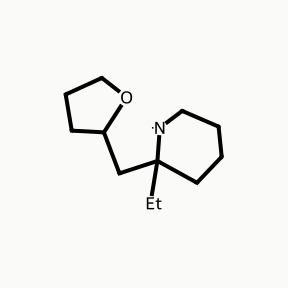 CCC1(CC2CCCO2)CCCC[N]1